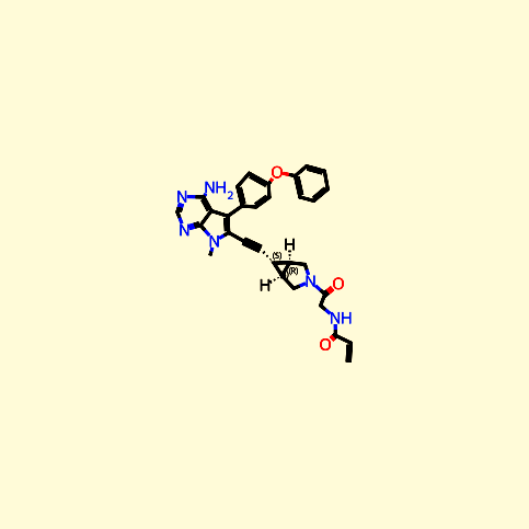 C=CC(=O)NCC(=O)N1C[C@@H]2[C@@H](C#Cc3c(-c4ccc(Oc5ccccc5)cc4)c4c(N)ncnc4n3C)[C@@H]2C1